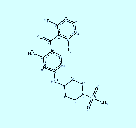 CS(=O)(=O)N1CCC(Nc2ccc(C(=O)c3c(F)cccc3F)c(N)n2)CC1